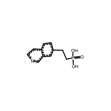 O=P(O)(O)CCc1ccc2ccncc2c1